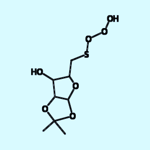 CC1(C)OC2OC(CSOOO)C(O)C2O1